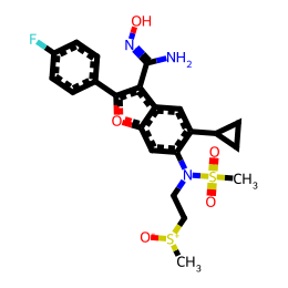 C[S+]([O-])CCN(c1cc2oc(-c3ccc(F)cc3)c(/C(N)=N/O)c2cc1C1CC1)S(C)(=O)=O